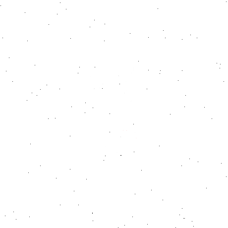 CC(C)(OC(=O)Oc1ccc(C(=O)OC(c2ccccc2)C(F)(F)C(=O)O)cc1)c1ccccc1